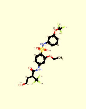 CCOc1cc(NC(=O)C(CCO)C(F)(F)F)ccc1S(=O)(=O)Nc1cccc(OC(F)(F)F)c1